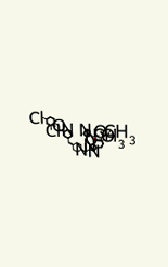 CCn1cncc1Cn1c(CN2CCC(=Cc3ccnc(COc4ccc(Cl)cc4Cl)c3)CC2)nc2ccc(C(=O)OC)cc21